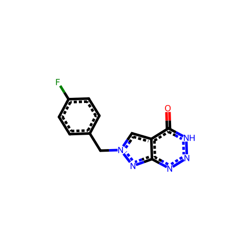 O=c1[nH]nnc2nn(Cc3ccc(F)cc3)cc12